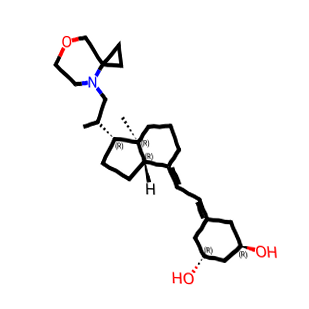 CC(CN1CCOCC12CC2)[C@H]1CC[C@H]2C(=CC=C3C[C@@H](O)C[C@H](O)C3)CCC[C@]12C